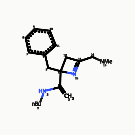 C=C(NCCCC)C1(Cc2ccccc2)CC(CNC)=N1